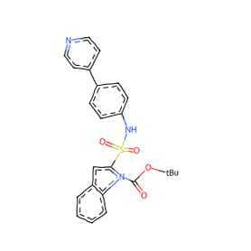 CC(C)(C)OC(=O)n1c(S(=O)(=O)Nc2ccc(-c3ccncc3)cc2)cc2ccccc21